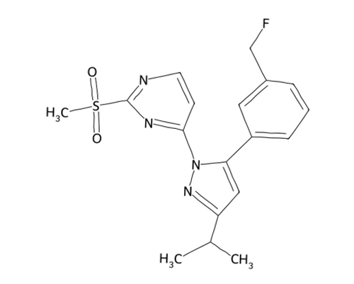 CC(C)c1cc(-c2cccc(CF)c2)n(-c2ccnc(S(C)(=O)=O)n2)n1